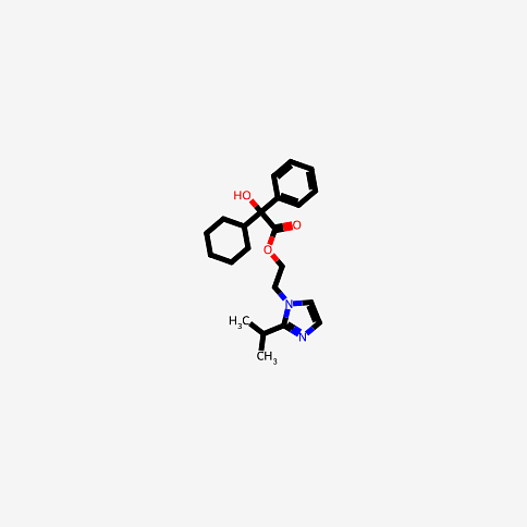 CC(C)c1nccn1CCOC(=O)C(O)(c1ccccc1)C1CCCCC1